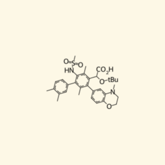 Cc1ccc(-c2c(C)c(-c3ccc4c(c3)N(C)CCO4)c(C(OC(C)(C)C)C(=O)O)c(C)c2NS(C)(=O)=O)cc1C